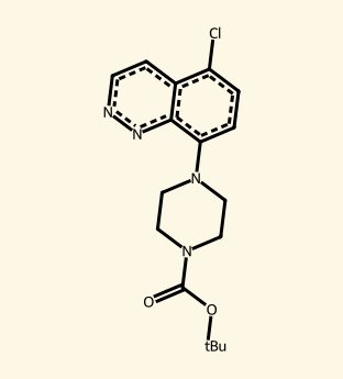 CC(C)(C)OC(=O)N1CCN(c2ccc(Cl)c3ccnnc23)CC1